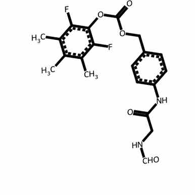 Cc1c(C)c(F)c(OC(=O)OCc2ccc(NC(=O)CNC=O)cc2)c(F)c1C